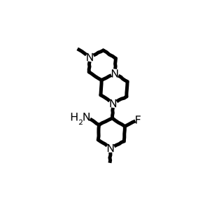 CN1CC(N)C(N2CCN3CCN(C)CC3C2)C(F)C1